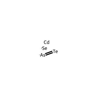 [As]=[Te].[Cd].[Se]